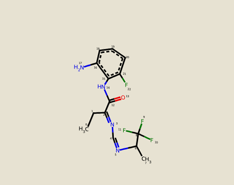 CC/C(=N\C=N/C(C)C(F)(F)F)C(=O)Nc1c(N)cccc1F